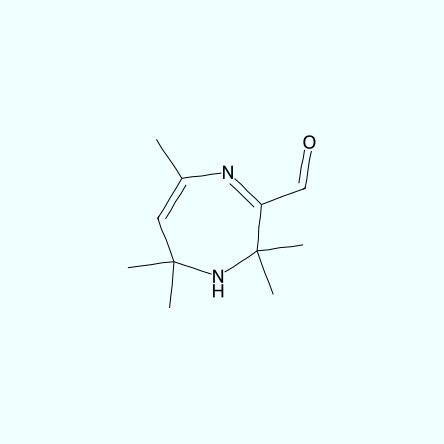 CC1=CC(C)(C)NC(C)(C)C(C=O)=N1